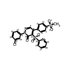 CS(=O)(=O)c1ccc(-c2cnn(-c3cccc(Cl)c3)c(=O)c2S(=O)(=O)c2ccccn2)cc1